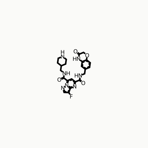 O=C1COc2ccc(CNC(=O)c3cc(C(=O)NCC4CCNCC4)n4ncc(F)c4n3)cc2N1